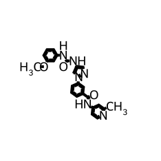 COc1cccc(NC(=O)Nc2cnn(-c3cccc(C(=O)Nc4ccnc(C)c4)c3)c2)c1